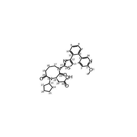 COc1ccc(-c2ccccc2-c2csc(N3CCCC(=O)N(C4CCCC4)[C@H](CC(=O)O)C3=O)n2)cn1